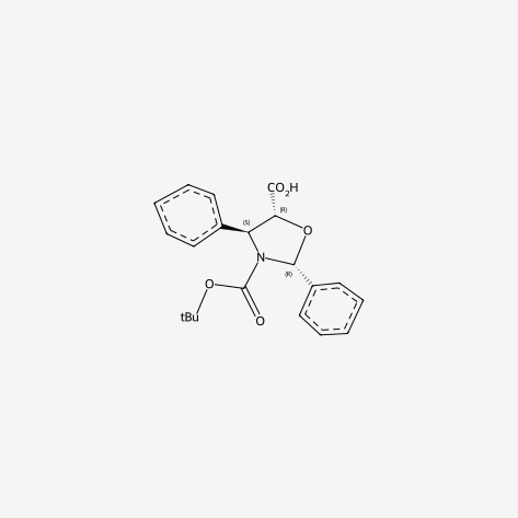 CC(C)(C)OC(=O)N1[C@@H](c2ccccc2)O[C@@H](C(=O)O)[C@@H]1c1ccccc1